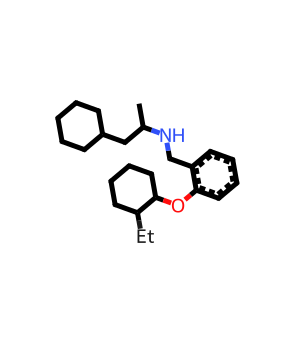 CCC1CCCCC1Oc1ccccc1CNC(C)CC1CCCCC1